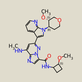 CNc1cc(-c2cn([C@@H]3CCOC[C@H]3OC)c3ncccc23)nn2c(C(=O)NC3CC[C@@H]3OC)cnc12